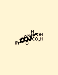 CC(C)c1ccc2oc3nc(NCCO)c(C(=O)O)cc3c(=O)c2c1